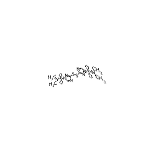 CN(C)S(=O)(=O)n1cnc(SSc2ncn(S(=O)(=O)N(C)C)n2)n1